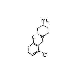 NC1CCN(Cc2c(Cl)cccc2Cl)CC1